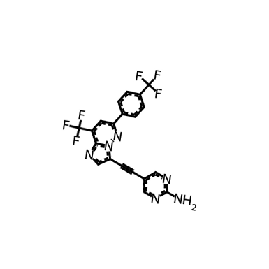 Nc1ncc(C#Cc2cnc3c(C(F)(F)F)cc(-c4ccc(C(F)(F)F)cc4)nn23)cn1